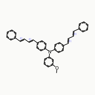 COc1cccc(N(c2ccc(/C=C/C=C/c3ccccc3)cc2)c2ccc(/C=C/C=C/c3ccccc3)cc2)c1